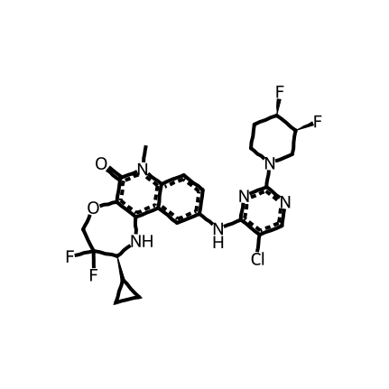 Cn1c(=O)c2c(c3cc(Nc4nc(N5CC[C@@H](F)[C@@H](F)C5)ncc4Cl)ccc31)N[C@@H](C1CC1)C(F)(F)CO2